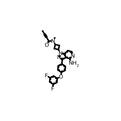 CC#CC(=O)N(C)C1CC(n2nc(-c3ccc(Oc4cc(F)cc(F)c4)cc3)c3c(N)nccc32)C1